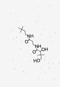 CC(C)(C)CCNC(=O)CCNC(=O)[C@@H](O)C(C)(C)CO